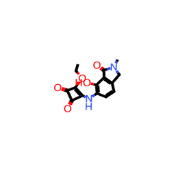 CCOc1c(Nc2ccc3c(c2O)C(=O)N(C)C3)c(=O)c1=O